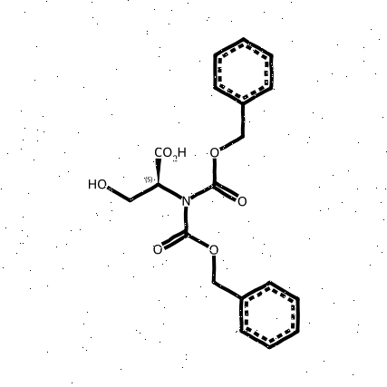 O=C(O)[C@H](CO)N(C(=O)OCc1ccccc1)C(=O)OCc1ccccc1